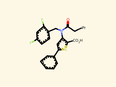 CC(C)CC(=O)N(Cc1ccc(F)cc1F)c1cc(-c2ccccc2)sc1C(=O)O